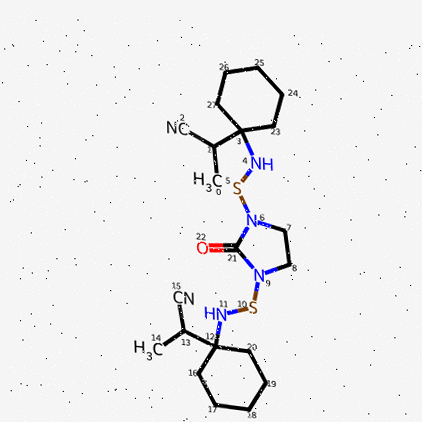 CC(C#N)C1(NSN2CCN(SNC3(C(C)C#N)CCCCC3)C2=O)CCCCC1